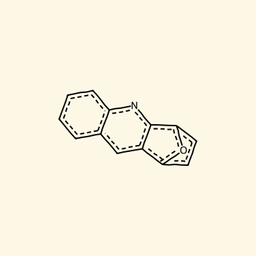 c1ccc2nc3c4ccc(o4)c3cc2c1